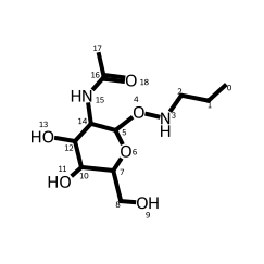 CCCNOC1OC(CO)C(O)C(O)C1NC(C)=O